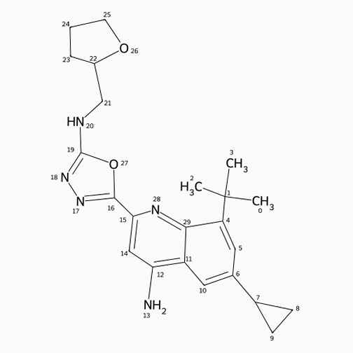 CC(C)(C)c1cc(C2CC2)cc2c(N)cc(-c3nnc(NCC4CCCO4)o3)nc12